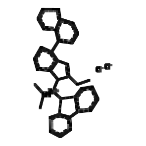 CCC1=Cc2c(-c3cccc4ccccc34)cccc2[CH]1[Zr+2]([CH]1c2ccccc2-c2ccccc21)[SiH](C)C.[Cl-].[Cl-]